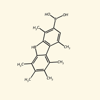 Cc1cc(B(O)O)c(C)c2c1-c1c(C)c(C)c(C)c(C)c1B2